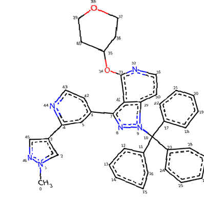 Cn1cc(-c2cc(-c3nn(C(c4ccccc4)(c4ccccc4)c4ccccc4)c4ccnc(OC5CCOCC5)c34)ccn2)cn1